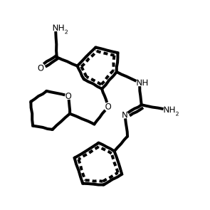 NC(=O)c1ccc(NC(N)=NCc2ccccc2)c(OCC2CCCCO2)c1